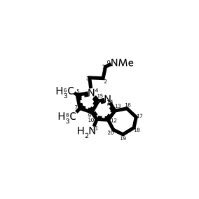 CNCCCn1c(C)c(C)c2c(N)c3c(nc21)CCCCC3